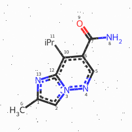 Cc1cn2ncc(C(N)=O)c(C(C)C)c2n1